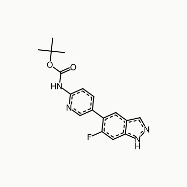 CC(C)(C)OC(=O)Nc1ccc(-c2cc3cn[nH]c3cc2F)cn1